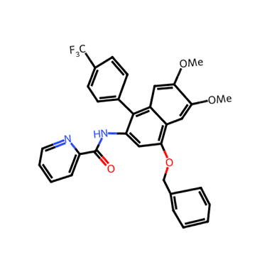 COc1cc2c(OCc3ccccc3)cc(NC(=O)c3ccccn3)c(-c3ccc(C(F)(F)F)cc3)c2cc1OC